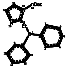 CCB(c1ccccc1)c1ccccc1.CCCCCCCCCCn1ccnc1